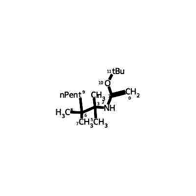 C=C(NC(C)(C)C(C)(C)CCCCC)OC(C)(C)C